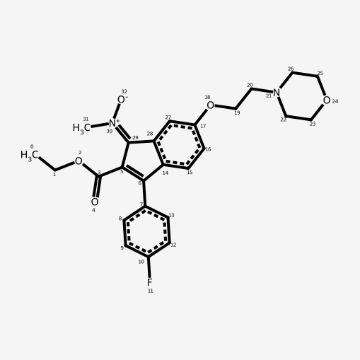 CCOC(=O)C1=C(c2ccc(F)cc2)c2ccc(OCCN3CCOCC3)cc2/C1=[N+](/C)[O-]